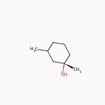 CC1CCC[C@](C)(O)C1